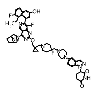 CCc1c(F)ccc2cc(O)cc(-c3ncc4c(N5CC6CCC(C5)N6)nc(OCC5(CN6CCC(F)(CN7CCN(c8ccc9c(cnn9C9CCC(=O)NC9=O)c8)CC7)CC6)CC5)nc4c3F)c12